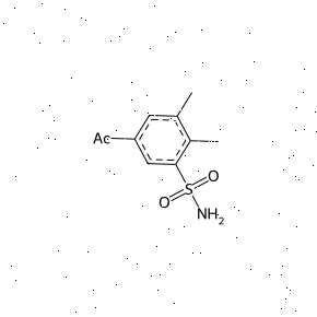 CC(=O)c1cc(C)c(C)c(S(N)(=O)=O)c1